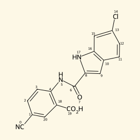 N#Cc1ccc(NC(=O)c2cc3ccc(Cl)cc3[nH]2)c(C(=O)O)c1